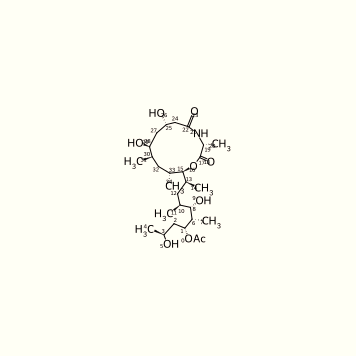 CC(=O)O[C@H](C[C@H](C)O)[C@@H](C)[C@@H](O)[C@@H](C)C[C@H](C)[C@@H]1OC(=O)[C@@H](C)NC(=O)C[C@@H](O)C[C@H](O)[C@H](C)C[C@H]1C